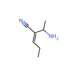 CC/C=C(/C#N)C(C)N